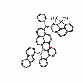 CC1(C)c2cccc3ccc4cc(N(c5ccccc5)c5ccc6ccc7c(N(c8ccccc8-c8ccccc8)c8cccc9c8sc8ccccc89)ccc8ccc5c6c87)cc1c4c23